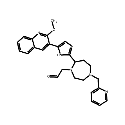 COc1nc2ccccc2cc1-c1cnc(C2CCN(Cc3ccccn3)CCN2CC=O)[nH]1